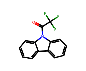 O=C(n1c2ccccc2c2ccccc21)C(F)(F)F